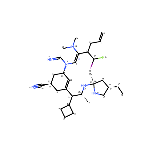 C=CCC(/C(=C/N(C=N)[C@H]1C=C(C(C2CCC2)[C@@H](C)N[C@@]2(C)C[C@H](CC)CN2)C[C@@H](C#N)C1)N(C)C)C(F)I